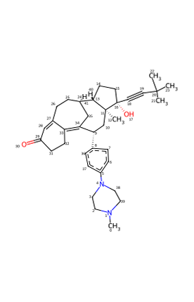 CN1CCN(c2ccc([C@H]3C[C@@]4(C)[C@@H](CC[C@@]4(O)C#CC(C)(C)C)[C@@H]4CCC5=CC(=O)CCC5=C3C4)cc2)CC1